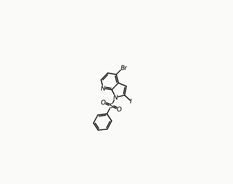 O=S(=O)(c1ccccc1)n1c(I)cc2c(Br)ccnc21